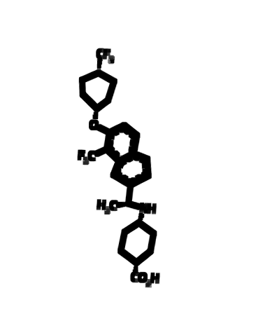 C[C@H](N[C@H]1CC[C@@H](C(=O)O)CC1)c1ccc2ccc(O[C@H]3CC[C@@H](C(F)(F)F)CC3)c(C(F)(F)F)c2c1